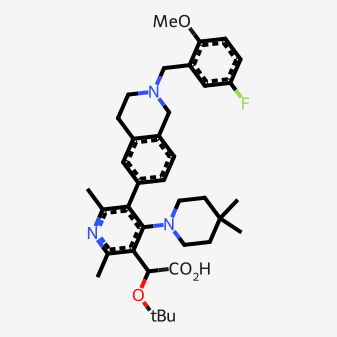 COc1ccc(F)cc1CN1CCc2cc(-c3c(C)nc(C)c(C(OC(C)(C)C)C(=O)O)c3N3CCC(C)(C)CC3)ccc2C1